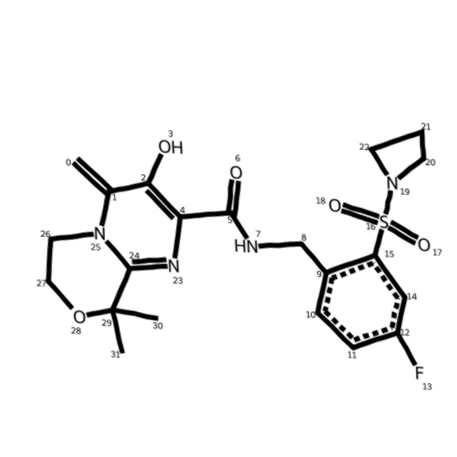 C=C1C(O)=C(C(=O)NCc2ccc(F)cc2S(=O)(=O)N2CCC2)N=C2N1CCOC2(C)C